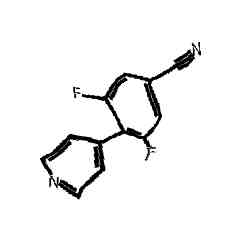 N#Cc1cc(F)c(-c2ccncc2)c(F)c1